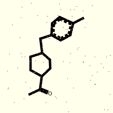 CC(=O)C1CCC(Cc2ccc(C)cc2)CC1